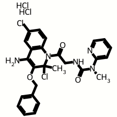 CN(C(=O)NCC(=O)N1c2ccc(Cl)cc2C(N)=C(OCc2ccccc2)C1(C)Cl)c1ccccn1.Cl.Cl